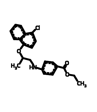 CCOC(=O)c1ccc(NCC(C)Oc2ccc(Cl)c3ccccc23)cc1